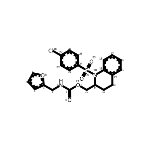 O=C(NCc1ccco1)OCC1CCc2ccccc2N1S(=O)(=O)c1ccc(Cl)cc1